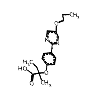 CCCOc1cnc(-c2ccc(OC(C)(CC)C(=O)O)cc2)nc1